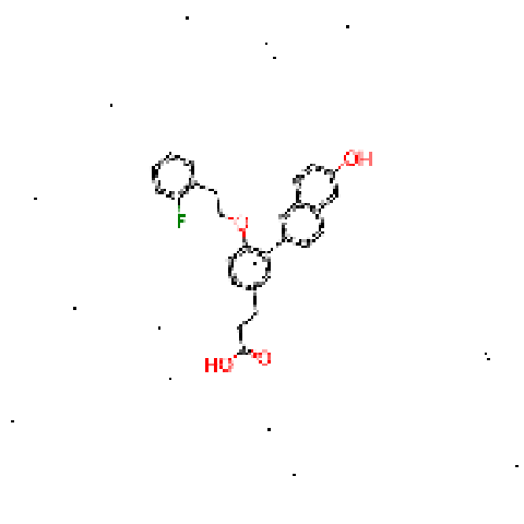 O=C(O)CCc1ccc(OCCc2ccccc2F)c(-c2ccc3cc(O)ccc3c2)c1